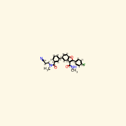 CNC(=O)c1c(-c2ccc(F)cc2)oc2ccc(-c3cccc(C(=O)N(C)CCC#N)c3)cc12